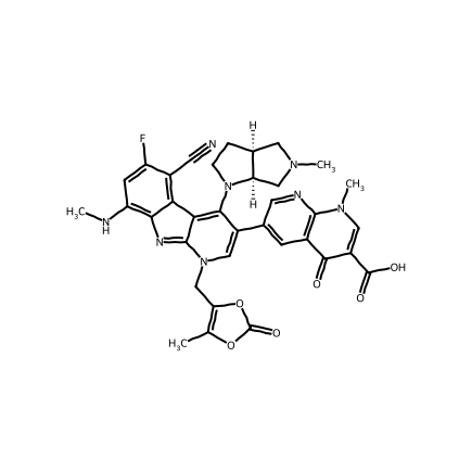 CNc1cc(F)c(C#N)c2c3c(N4CC[C@H]5CN(C)C[C@H]54)c(-c4cnc5c(c4)c(=O)c(C(=O)O)cn5C)cn(Cc4oc(=O)oc4C)c-3nc12